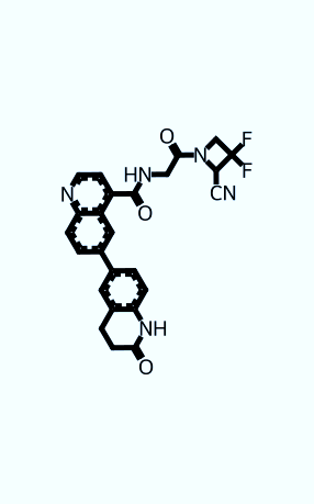 N#CC1N(C(=O)CNC(=O)c2ccnc3ccc(-c4ccc5c(c4)CCC(=O)N5)cc23)CC1(F)F